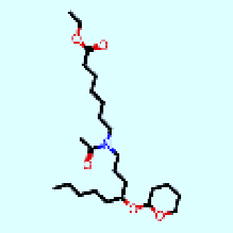 CCCCCC(CCCN(CCCCCCC(=O)OCC)C(C)=O)OC1CCCCO1